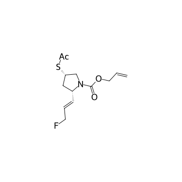 C=CCOC(=O)N1C[C@@H](SC(C)=O)C[C@H]1/C=C/CF